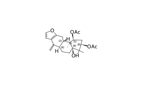 C=C1c2ccoc2C[C@H]2[C@H]1CC[C@@]1(O)C(C)(C)[C@H](OC(C)=O)C[C@H](OC(C)=O)[C@]21C